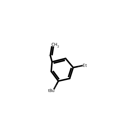 C=[C]c1cc(CC)cc(C(C)(C)C)c1